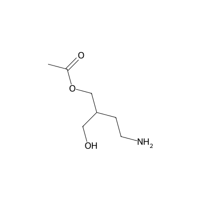 CC(=O)OCC(CO)CCN